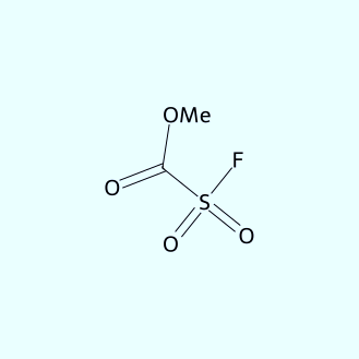 COC(=O)S(=O)(=O)F